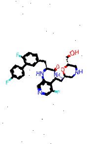 NC(=O)[C@H](Cc1ccc(F)c(-c2ccc(F)cc2)c1)Nc1cncc(F)c1CC[C@@H]1CNC[C@@H](CO)O1